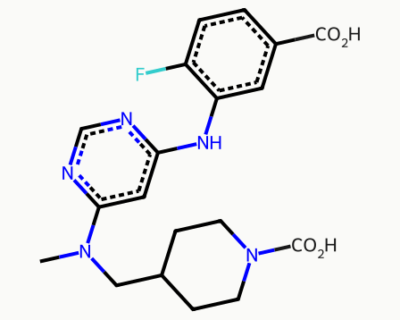 CN(CC1CCN(C(=O)O)CC1)c1cc(Nc2cc(C(=O)O)ccc2F)ncn1